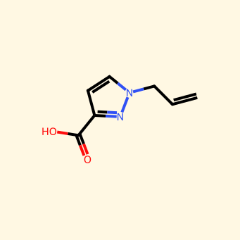 C=CCn1ccc(C(=O)O)n1